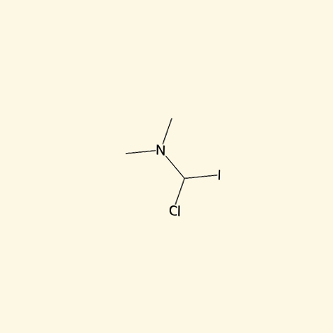 CN(C)C(Cl)I